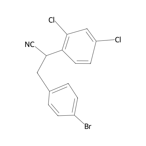 N#CC(Cc1ccc(Br)cc1)c1ccc(Cl)cc1Cl